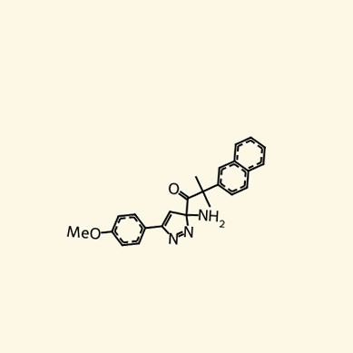 COc1ccc(C2=CC(N)(C(=O)C(C)(C)c3ccc4ccccc4c3)N=N2)cc1